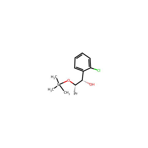 CC(C)[C@H](O[Si](C)(C)C)[C@@H](O)c1ccccc1Cl